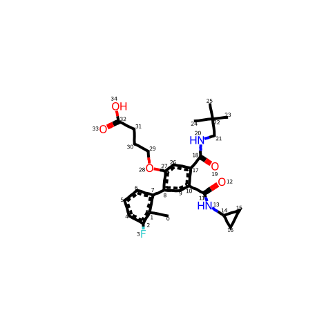 Cc1c(F)cccc1-c1cc(C(=O)NC2CC2)c(C(=O)NCC(C)(C)C)cc1OCCCC(=O)O